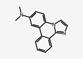 CN(C)c1ccc2c(c1)c1ccccc1c1nccn21